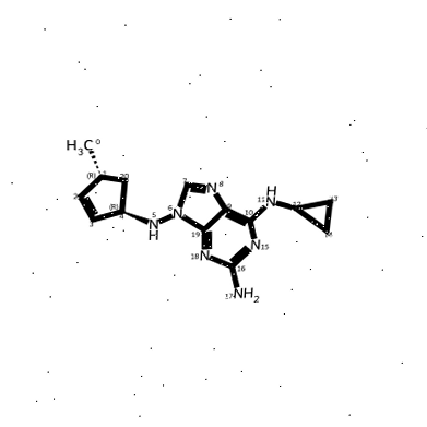 C[C@H]1C=C[C@H](Nn2cnc3c(NC4CC4)nc(N)nc32)C1